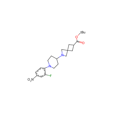 CC(C)(C)OC(=O)C1CC2(C1)CN(C1CCN(c3ccc([N+](=O)[O-])cc3F)CC1)C2